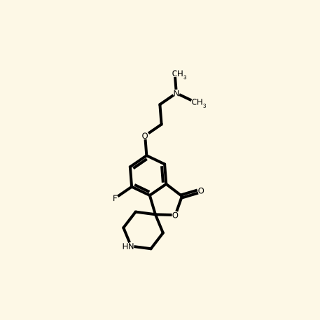 CN(C)CCOc1cc(F)c2c(c1)C(=O)OC21CCNCC1